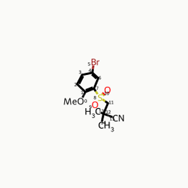 COc1ccc(Br)cc1S(=O)(=O)CC(C)(C)C#N